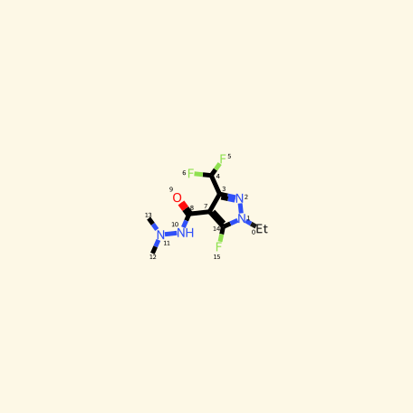 CCn1nc(C(F)F)c(C(=O)NN(C)C)c1F